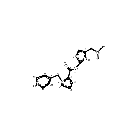 CN(C)Cc1csc(NC(=O)c2cccn2Cc2ccncc2)n1